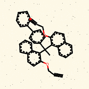 C#CCOc1ccc2ccccc2c1C(C)(c1ccc(-c2ccccc2)cc1)c1c(OCC#C)ccc2ccccc12